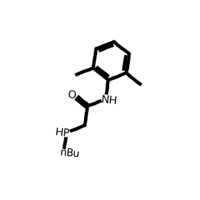 CCCCPCC(=O)Nc1c(C)cccc1C